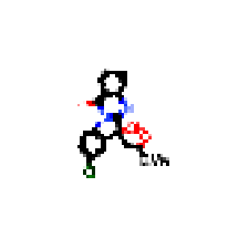 COC(=O)CC1(O)c2cc(Cl)ccc2-n2c1nc1ccccc1c2=O